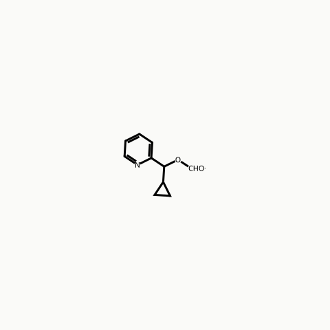 O=[C]OC(c1ccccn1)C1CC1